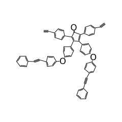 C#Cc1ccc(C2=C(c3ccc(Oc4ccc(C#Cc5ccccc5)cc4)cc3)C(c3ccc(Oc4ccc(C#Cc5ccccc5)cc4)cc3)=C(c3ccc(C#C)cc3)C2=O)cc1